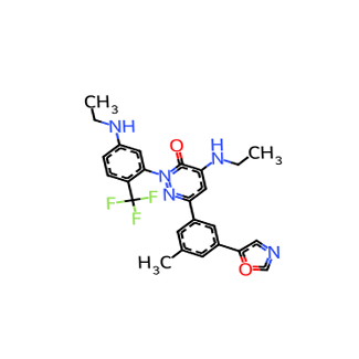 CCNc1ccc(C(F)(F)F)c(-n2nc(-c3cc(C)cc(-c4cnco4)c3)cc(NCC)c2=O)c1